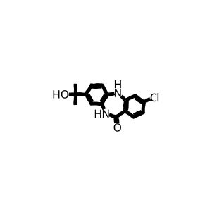 CC(C)(O)c1ccc2c(c1)NC(=O)c1ccc(Cl)cc1N2